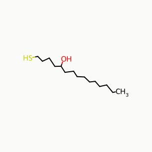 CCCCCCCCCCC(O)CCCCS